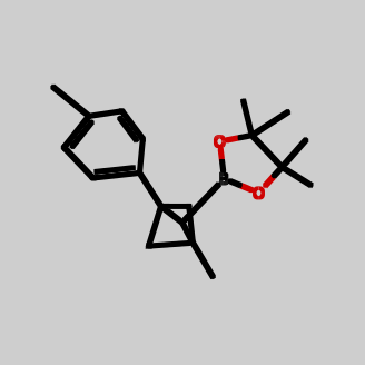 Cc1ccc(C23CC(C)(C2)C3B2OC(C)(C)C(C)(C)O2)cc1